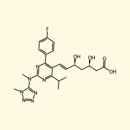 CC(C)c1nc(N(C)c2nnnn2C)nc(-c2ccc(F)cc2)c1/C=C/[C@@H](O)C[C@@H](O)CC(=O)O